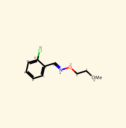 COCCON=Cc1c[c]ccc1Cl